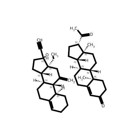 C#C[C@]1(O)CC[C@H]2[C@@H]3CCC4=CCCC[C@@H]4[C@H]3C(=C)C[C@@]21CC.CC(=O)[C@H]1CC[C@H]2[C@@H]3CCC4=CC(=O)CC[C@]4(C)[C@H]3CC[C@]12C